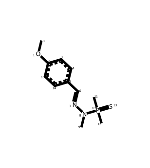 COc1ccc(/C=N/N(C)P(C)(C)=S)cc1